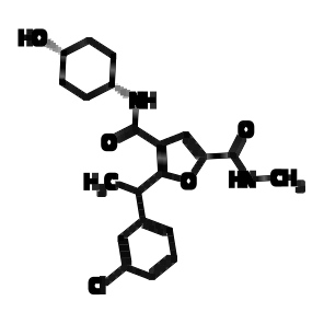 CNC(=O)c1cc(C(=O)N[C@H]2CC[C@@H](O)CC2)c(C(C)c2cccc(Cl)c2)o1